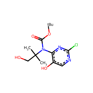 CC(C)(C)OC(=O)N(c1nc(Cl)ncc1O)C(C)(C)CO